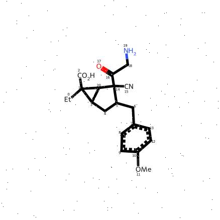 CCC1(C(=O)O)C2CC(Cc3ccc(OC)cc3)C(C#N)(C(=O)CN)C21